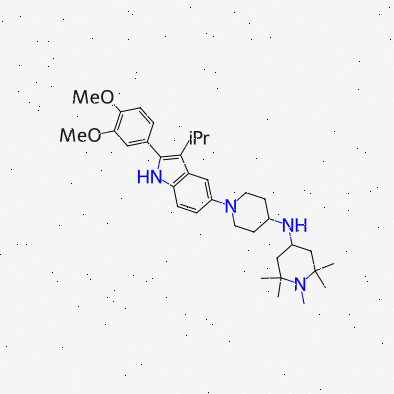 COc1ccc(-c2[nH]c3ccc(N4CCC(NC5CC(C)(C)N(C)C(C)(C)C5)CC4)cc3c2C(C)C)cc1OC